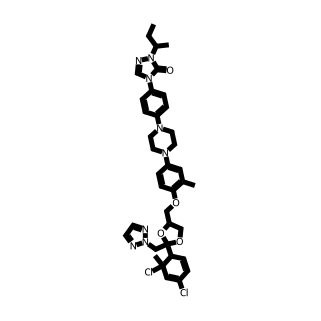 CCC(C)n1ncn(-c2ccc(N3CCN(c4ccc(OCC5COC(Cn6nccn6)(C6C=CC(Cl)=CC6(C)Cl)O5)c(C)c4)CC3)cc2)c1=O